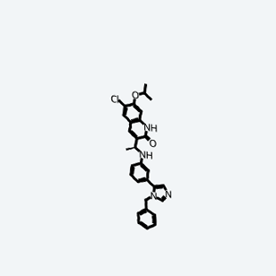 CC(C)Oc1cc2[nH]c(=O)c([C@H](C)Nc3cccc(-c4cncn4Cc4ccccc4)c3)cc2cc1Cl